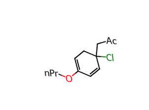 CCCOC1=CCC(Cl)(CC(C)=O)C=C1